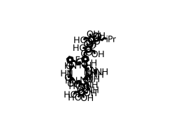 CCC(c1ccccc1)C1NC(=O)CNC(=O)C(CO)NC(=O)C(C(O)C2CNC(=N)N2C2OC(CO)C(O)C(O)C2O)NC(=O)C(C(O)C2CNC(=N)N2)NC(=O)C(Cc2ccc(OC3OC(CO)C(OC4OC(CO)C(O)C(O)C4OC(=O)CCC(C)C)C(O)C3O)cc2)NC1=O